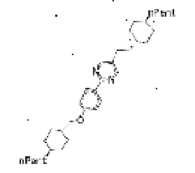 CCCCC[C@H]1CC[C@H](CCc2cnc(-c3ccc(OC[C@H]4CC[C@H](CCCCC)CC4)cc3)nc2)CC1